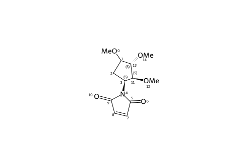 COC1C[C@H](N2C(=O)C=CC2=O)[C@H](OC)[C@H]1OC